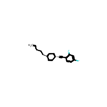 CCCCC[C@H]1CC[C@H](C#Cc2ccc(F)cc2F)CC1